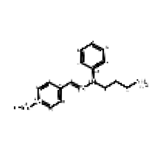 CCCCCC[n+]1ccc(/C=N/N(CCCN)c2ccccc2)cc1